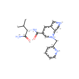 CC(C)[C@H](NC(=O)c1cc2cncc-2n(Cc2ccccn2)c1)C(N)=O